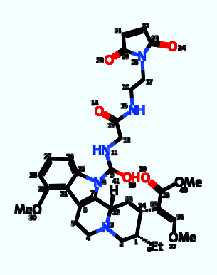 CC[C@@H]1CN2CCc3c(n(C(O)NCC(=O)NCCN4C(=O)C=CC4=O)c4cccc(OC)c34)[C@@H]2C[C@@H]1/C(=C\OC)C(=O)OC